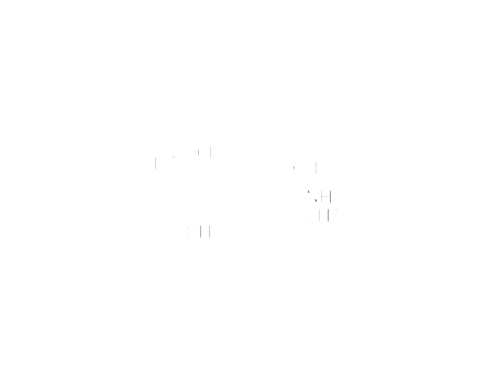 CCC(CCCC1CC(C(C)C)CC1C)CC(C)N